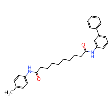 [CH2]c1ccc(NC(=O)CCCCCCCCC(=O)Nc2cccc(-c3ccccc3)c2)cc1